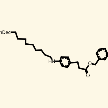 CCCCCCCCCCCCCCCCCCCNc1ccc(CCC(=O)OCc2ccccc2)cc1